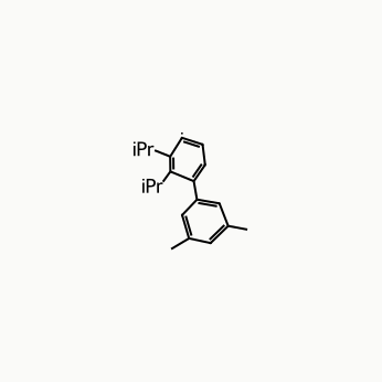 Cc1cc(C)cc(-c2cc[c]c(C(C)C)c2C(C)C)c1